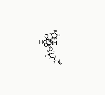 C=CCCCC(C)(C)COC(=O)N[C@H](C(=O)O)C1CCCC1